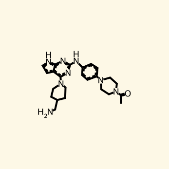 CC(=O)N1CCN(c2ccc(Nc3nc(N4CCC(CN)CC4)c4cc[nH]c4n3)cc2)CC1